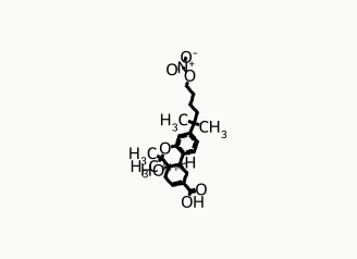 CC(C)(CCCCO[N+](=O)[O-])c1ccc2c(c1)OC(C)(C)[C@@]1(O)CC=C(C(=O)O)C[C@H]21